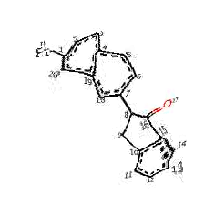 CCc1ccc2ccc(C3Cc4ccccc4C3=O)cc2c1